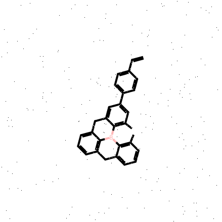 C=Cc1ccc(-c2cc(C)c3c(c2)Cc2cccc4c2B3c2c(C)cccc2C4)cc1